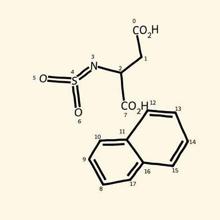 O=C(O)CC(N=S(=O)=O)C(=O)O.c1ccc2ccccc2c1